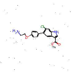 CC(C)(C)OC(=O)c1c[nH]c2cc(Cl)c(-c3ccc(OCCN)cc3)cc12